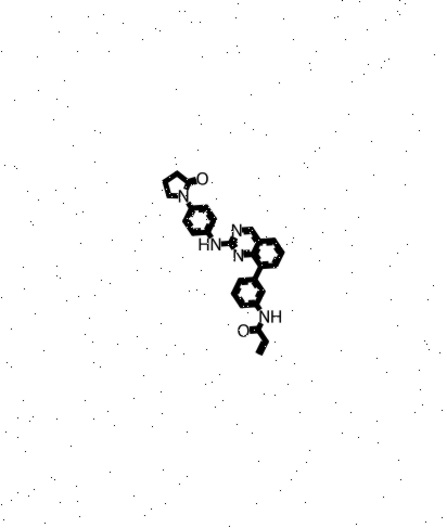 C=CC(=O)Nc1cccc(-c2cccc3cnc(Nc4ccc(N5CCCC5=O)cc4)nc23)c1